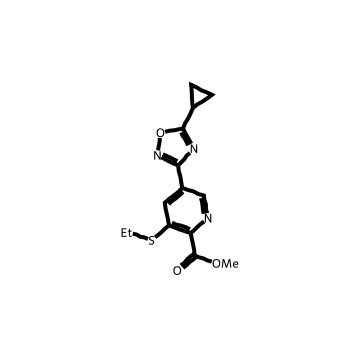 CCSc1cc(-c2noc(C3CC3)n2)cnc1C(=O)OC